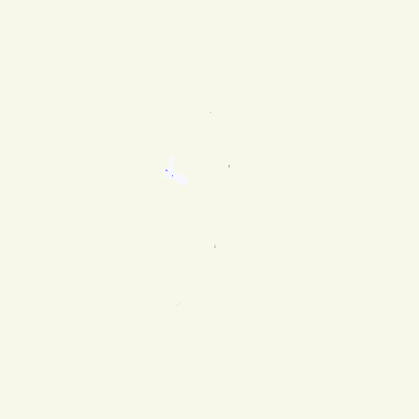 Bc1ccc(-c2ccc(F)cc2F)nc1